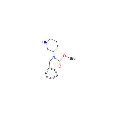 CC(C)(C)OC(=O)N(Cc1ccccc1)[C@H]1CCCNC1